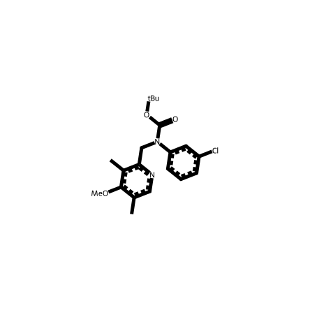 COc1c(C)cnc(CN(C(=O)OC(C)(C)C)c2cccc(Cl)c2)c1C